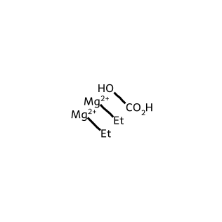 C[CH2][Mg+2].C[CH2][Mg+2].O=C(O)O